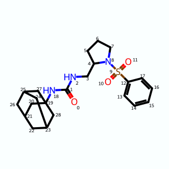 O=C(NCC1CCCN1S(=O)(=O)c1ccccc1)NC12CC3CC(CC(C3)C1)C2